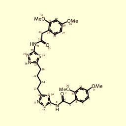 COc1ccc(CC(=O)Nc2nnc(CCCCc3nnc(NC(=O)Cc4ccc(OC)cc4OC)s3)s2)c(OC)c1